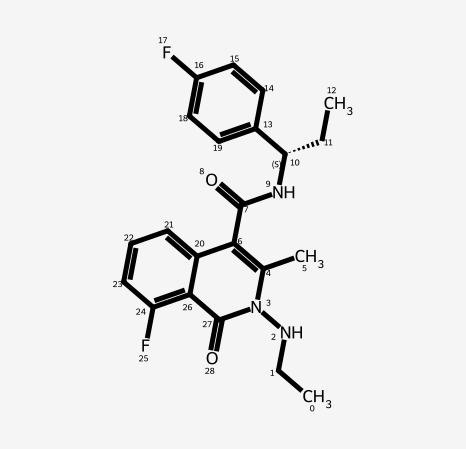 CCNn1c(C)c(C(=O)N[C@@H](CC)c2ccc(F)cc2)c2cccc(F)c2c1=O